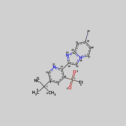 CCS(=O)(=O)c1cc(C(C)(C)C#N)cnc1-c1cn2ccc(I)cc2n1